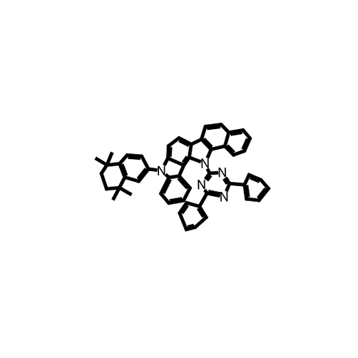 CC1(C)CCC(C)(C)c2cc(-n3c4ccccc4c4c3ccc3c5ccc6ccccc6c5n(-c5nc(-c6ccccc6)nc(-c6ccccc6)n5)c34)ccc21